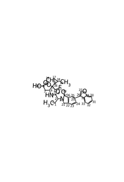 CCC(C(=O)NC(CC(=O)O)C(CF)(OC)C1CC1C)N1Cc2ccc(-c3coc4ccccc34)cc2C1=O